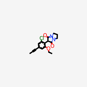 CC#Cc1cc(Cl)c(C2C(=O)N3CCCN3C2=O)c(OCC)c1